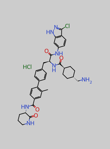 Cc1cc(C(=O)N[C@H]2CCCNC2=O)ccc1-c1ccc(C[C@H](NC(=O)[C@H]2CC[C@H](CN)CC2)C(=O)Nc2ccc3c(Cl)n[nH]c3c2)cc1.Cl